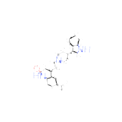 CC(C)c1ccc2[nH]c(=O)cc(CCN3CCC(c4c[nH]c5ccccc45)CC3)c2c1